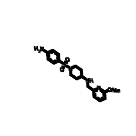 COc1cccc(CNC2CCN(S(=O)(=O)c3ccc(N)cc3)CC2)n1